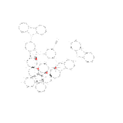 N#Cc1cc(-n2c3cc(-n4c5ccccc5c5ccccc54)ccc3c3ccc(-n4c5ccccc5c5ccccc54)cc32)c(-c2c(C#N)cccc2C(F)(F)F)c(-n2c3cc(-n4c5ccccc5c5ccccc54)ccc3c3ccc(-n4c5ccccc5c5ccccc54)cc32)c1